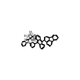 BC(B)(B)C(B)(B)c1nc2ccccc2n1-c1cccc(-c2c3ccccc3c(-c3ccc4c5c(cccc35)-c3ccccc3-4)c3ccccc23)c1